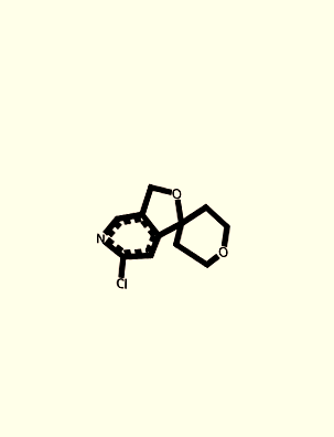 Clc1cc2c(cn1)COC21CCOCC1